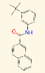 CC(C)(C)c1cccc(NC(=O)c2ccc3ccccc3c2)c1